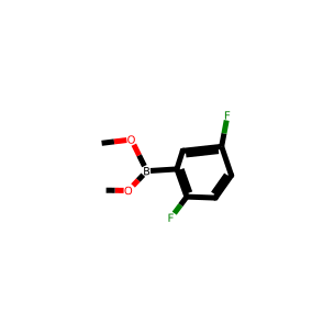 COB(OC)c1cc(F)ccc1F